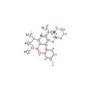 COC(=O)c1c(C(C)C)nc(C(C)C)c(CN2CCOCC2)c1-c1ccc(F)cc1